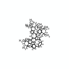 CC1(C)CCC(C)(C)C2(C)Cc3sc4c(c3C=C12)N(c1ccc2c(c1)C(C)(C)CCC2(C)C)c1cc2cc3c1B(C4)c1cc4c(cc1N3c1ccccc1-c1ccc-2cc1)C(C)(C)CCC4(C)C